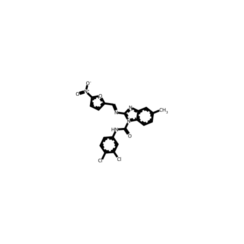 Cc1ccc2c(c1)nc(N=Cc1ccc([N+](=O)[O-])o1)n2C(=O)Nc1ccc(Cl)c(Cl)c1